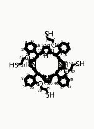 SCCOc1ccccc1-c1c2nc(c(-c3ccccc3OCCS)c3ccc([nH]3)c(-c3ccccc3OCCS)c3nc(c(-c4ccccc4OCCS)c4ccc1[nH]4)C=C3)C=C2